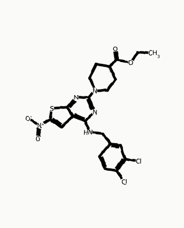 CCOC(=O)C1CCN(c2nc(NCc3ccc(Cl)c(Cl)c3)c3cc([N+](=O)[O-])sc3n2)CC1